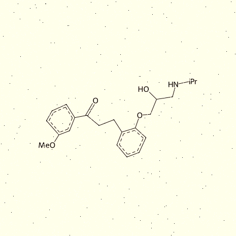 COc1cccc(C(=O)CCc2ccccc2OCC(O)CNC(C)C)c1